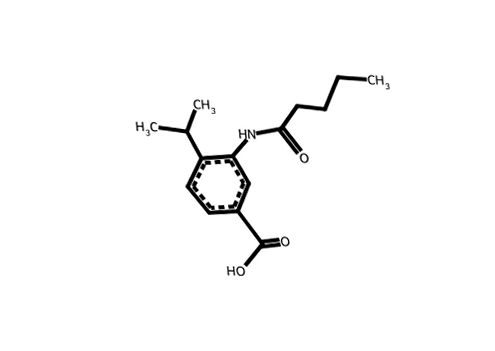 CCCCC(=O)Nc1cc(C(=O)O)ccc1C(C)C